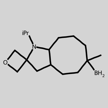 BC1(C)CCCC2C(CC1)CC1(COC1)N2C(C)C